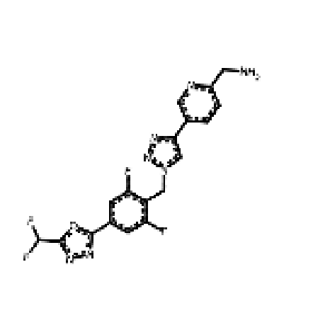 NCc1ccc(-c2cn(Cc3c(F)cc(-c4nnc(C(F)F)o4)cc3F)nn2)cn1